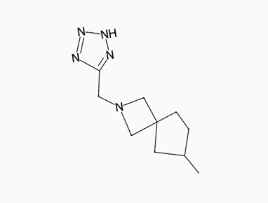 CC1CCC2(C1)CN(Cc1nn[nH]n1)C2